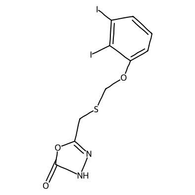 O=c1[nH]nc(CSCOc2cccc(I)c2I)o1